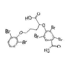 O=C(O)c1cc(Br)c(OC(CCCOc2c(Br)cccc2Br)C(=O)O)c(Br)c1Br